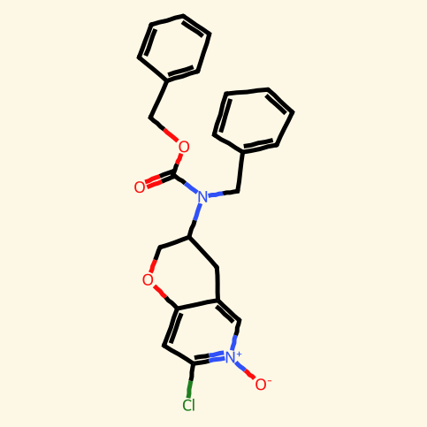 O=C(OCc1ccccc1)N(Cc1ccccc1)C1COc2cc(Cl)[n+]([O-])cc2C1